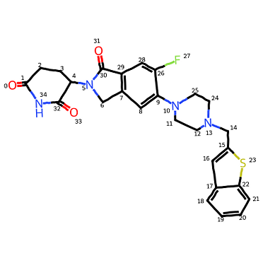 O=C1CCC(N2Cc3cc(N4CCN(Cc5cc6ccccc6s5)CC4)c(F)cc3C2=O)C(=O)N1